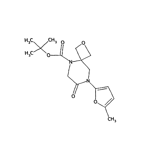 Cc1ccc(N2CC3(COC3)N(C(=O)OC(C)(C)C)CC2=O)o1